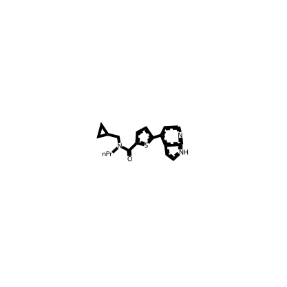 CCCN(CC1CC1)C(=O)c1ccc(-c2ccnc3[nH]ccc23)s1